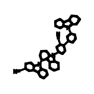 N#Cc1ccc2c(c1)c1ccccc1n2-c1cccc2c1c1ccccc1n2-c1ccc(-c2cccc(-n3c4ccccc4c4ccccc43)c2)c(C#N)c1